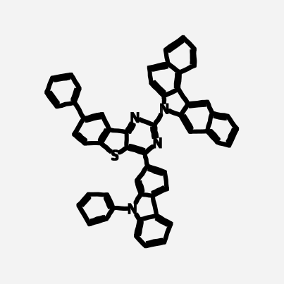 c1ccc(-c2ccc3sc4c(-c5ccc6c7ccccc7n(-c7ccccc7)c6c5)nc(-n5c6cc7ccccc7cc6c6c7ccccc7ccc65)nc4c3c2)cc1